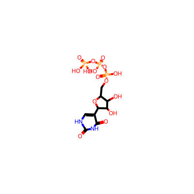 O=c1[nH]cc(C2OC(COP(=O)(O)OP(=O)(O)OP(=O)(O)O)C(O)C2O)c(=O)[nH]1